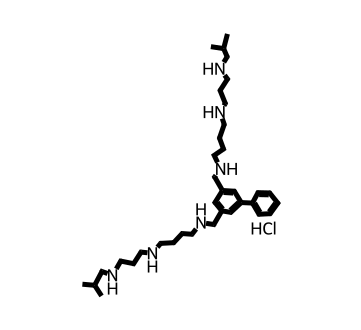 CC(C)CNCCCNCCCCNCc1cc(CNCCCCNCCCNCC(C)C)cc(-c2ccccc2)c1.Cl